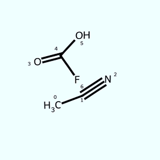 CC#N.O=C(O)F